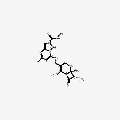 CC1=NC2=CN(C(=O)NO)NN2C(SCC2=C(C(=O)O)N3C(=O)[C@@H](N)[C@H]3SC2)=C1